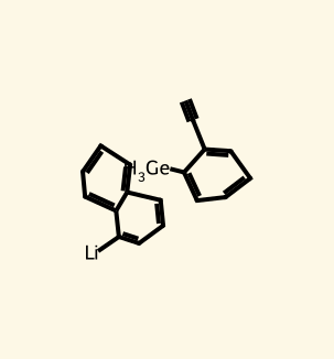 C#Cc1cccc[c]1[GeH3].[Li][c]1cccc2ccccc12